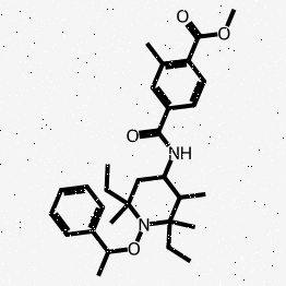 CCC1(C)CC(NC(=O)c2ccc(C(=O)OC)c(C)c2)C(C)C(C)(CC)N1OC(C)c1ccccc1